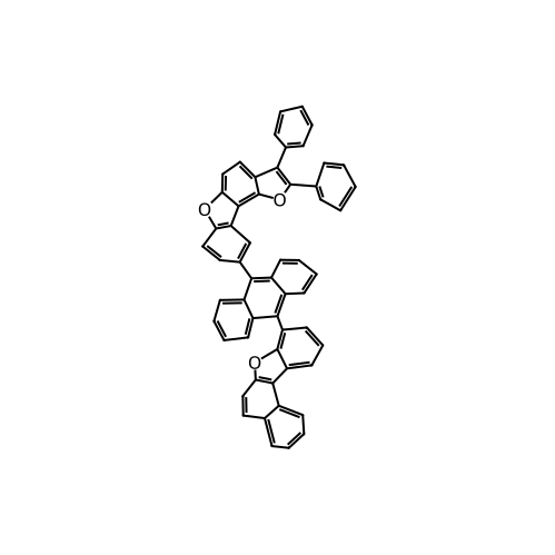 c1ccc(-c2oc3c(ccc4oc5ccc(-c6c7ccccc7c(-c7cccc8c7oc7ccc9ccccc9c78)c7ccccc67)cc5c43)c2-c2ccccc2)cc1